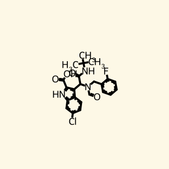 CC(C)(C)NC(=O)C(c1c(C(=O)O)[nH]c2cc(Cl)ccc12)N(C=O)Cc1ccccc1F